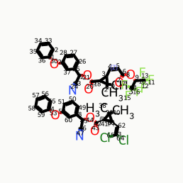 CC1(C)C(/C=C\C(=O)OC(C(F)(F)F)C(F)(F)F)C1C(=O)OC(C#N)c1cccc(Oc2ccccc2)c1.CC1(C)[C@H](C(=O)OC(C#N)c2cccc(Oc3ccccc3)c2)[C@@H]1C=C(Cl)Cl